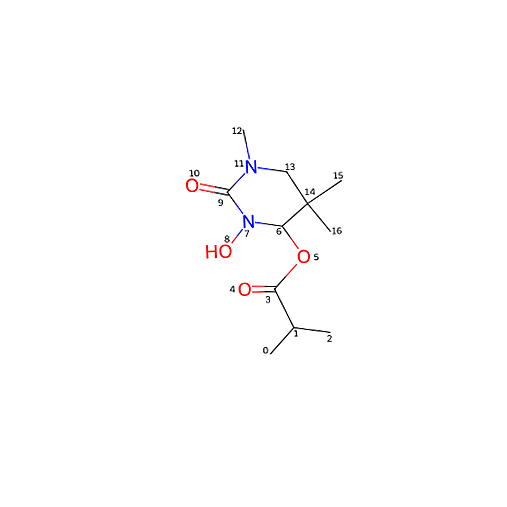 CC(C)C(=O)OC1N(O)C(=O)N(C)CC1(C)C